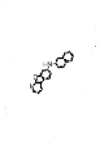 c1ccc2cc(Nc3ccc4c(c3)oc3ncccc34)ccc2c1